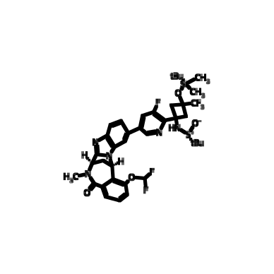 CN1C(=O)c2cccc(OC(F)F)c2[C@H]2C[C@@H]1c1nc3ccc(-c4cnc(C5(N[S@+]([O-])C(C)(C)C)CC(O[Si](C)(C)C(C)(C)C)(C(F)(F)F)C5)c(F)c4)cc3n12